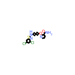 NC(=O)c1cccnc1OC1CC2(CC(Nc3nc4c(Cl)cc(Cl)cc4s3)C2)C1